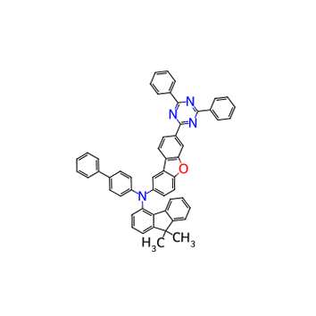 CC1(C)c2ccccc2-c2c(N(c3ccc(-c4ccccc4)cc3)c3ccc4oc5cc(-c6nc(-c7ccccc7)nc(-c7ccccc7)n6)ccc5c4c3)cccc21